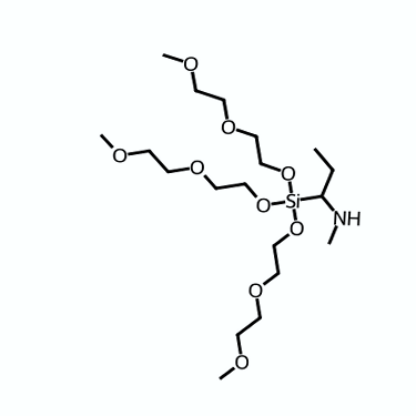 CCC(NC)[Si](OCCOCCOC)(OCCOCCOC)OCCOCCOC